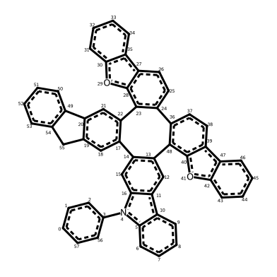 c1ccc(-n2c3ccccc3c3cc4c(cc32)-c2cc3c(cc2-c2c(ccc5c2oc2ccccc25)-c2ccc5c(oc6ccccc65)c2-4)-c2ccccc2C3)cc1